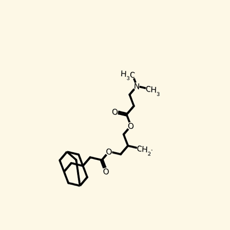 [CH2]C(COC(=O)CCN(C)C)COC(=O)CC12CC3CC(CC(C3)C1)C2